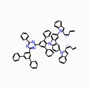 C=C/C=C\c1cc2ccccc2n1-c1ccc2c(c1)c1cc(-n3c(/C=C\C=C)cc4ccccc43)ccc1n2-c1c(-c2ccccc2)cc(-c2nc(-c3ccccc3)nc(-c3cc(-c4ccccc4)cc(-c4ccccc4)c3)n2)cc1-c1ccccc1